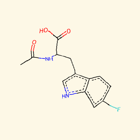 CC(=O)NC(Cc1c[nH]c2cc(F)ccc12)C(=O)O